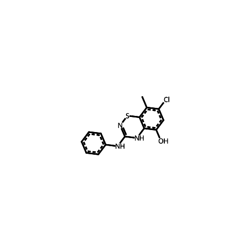 Cc1c(Cl)cc(O)c2c1SN=C(Nc1ccccc1)N2